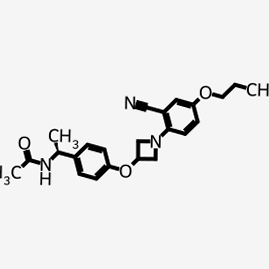 CCCOc1ccc(N2CC(Oc3ccc([C@H](C)NC(C)=O)cc3)C2)c(C#N)c1